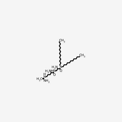 C=C(N)NCCCC(N)C(=O)NCC(N)C(=O)N(CCCCCCCCCCCC)CCCCCCCCCCCCCC